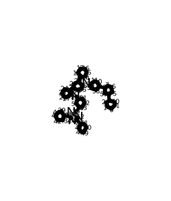 c1ccc(-c2cccc(-c3ccc(-n4c5ccccc5c5cc6c7ccccc7n(-c7cccc(-c8nc(-c9ccccc9)nc(-c9ccccc9)n8)c7)c6cc54)cc3)c2)cc1